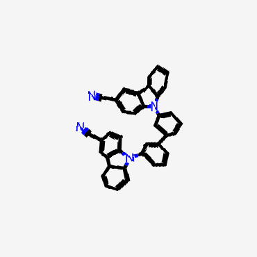 N#Cc1ccc2c(c1)C1C=CC=CC1N2c1cccc(-c2cccc(-n3c4ccccc4c4cc(C#N)ccc43)c2)c1